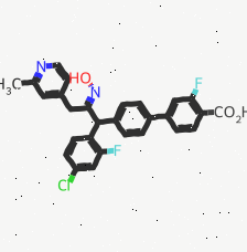 Cc1cc(C/C(=N\O)C(c2ccc(-c3ccc(C(=O)O)c(F)c3)cc2)c2ccc(Cl)cc2F)ccn1